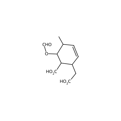 CC1C=CC(CC(=O)O)C(C(=O)O)C1OC=O